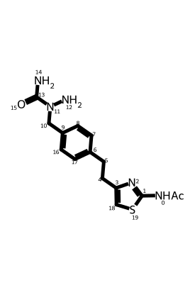 CC(=O)Nc1nc(CCc2ccc(CN(N)C(N)=O)cc2)cs1